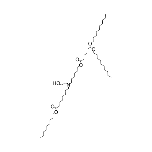 CCCCCCCCCCOC(CCCCC(=O)OCCCCCCN(CCO)CCCCCCCC(=O)OCCCCCCCCC)OCCCCCCCCCC